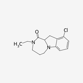 CCN1CCCN2c3cccc(Cl)c3CC2C1=O